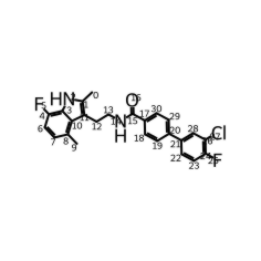 Cc1[nH]c2c(F)ccc(C)c2c1CCNC(=O)c1ccc(-c2ccc(F)c(Cl)c2)cc1